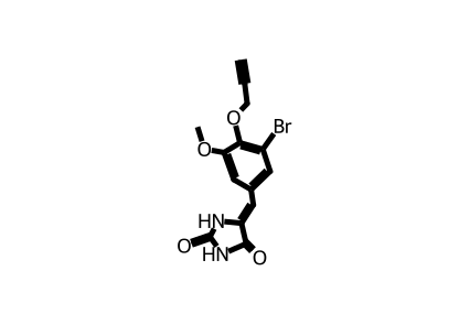 C#CCOc1c(Br)cc(/C=C2\NC(=O)NC2=O)cc1OC